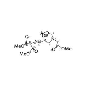 COC(=O)CN(COC(C)=O)CC(O)CNC(C(=O)OC)C(=O)OC